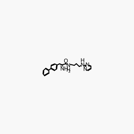 N[C@@H](Cc1ccc(-c2ccccc2)cc1)C(=O)NCCCCNc1ncccn1